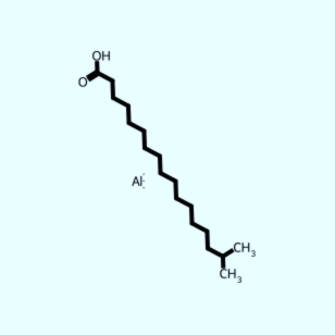 CC(C)CCCCCCCCCCCCCCC(=O)O.[Al]